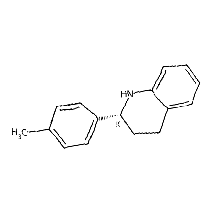 Cc1ccc([C@H]2CCc3ccccc3N2)cc1